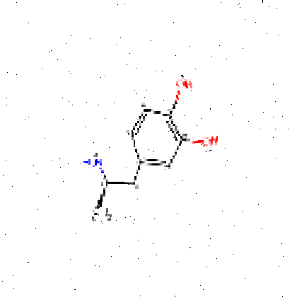 C[C@@H](N)Cc1ccc(O)c(O)c1